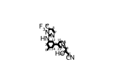 Cc1cc(Nc2nccc(C(F)(F)F)n2)cc(-c2cnn(C[C@H](O)CC#N)c2)c1